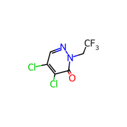 O=c1c(Cl)c(Cl)cnn1CC(F)(F)F